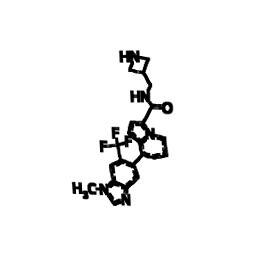 Cn1cnc2cc(-c3cccn4c(C(=O)NCC5CNC5)ccc34)c(C(F)(F)F)cc21